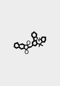 CC1(C)c2ccccc2-n2c3ccccc3c3cc(C=C4C(=O)c5cc6ccccc6cc5C4=O)cc1c32